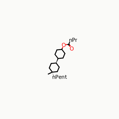 CCCCC[C@]1(C)CC[C@@H](C2CCC(OC(=O)CCC)CC2)CC1